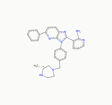 C[C@@H]1CN(Cc2ccc(-n3c(-c4cccnc4N)nc4ccc(-c5ccccc5)nc43)cc2)CCN1